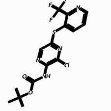 CC(C)(C)OC(=O)Nc1ncc(Sc2cccnc2C(F)(F)F)nc1Cl